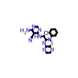 CC(Nc1ncnc(N)c1C#N)C1=Nc2nccnc2SN1c1ccccc1